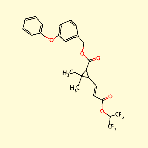 CC1(C)C(/C=C/C(=O)OC(C(F)(F)F)C(F)(F)F)C1C(=O)OCc1cccc(Oc2ccccc2)c1